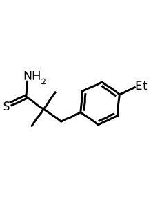 CCc1ccc(CC(C)(C)C(N)=S)cc1